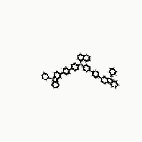 c1ccc(-n2c3ccccc3c3cc(-c4ccc(-c5ccc(N(c6ccc(-c7ccc(-c8ccc9c%10ccccc%10n(-c%10ccccc%10)c9c8)cc7)cc6)c6cccc7ccccc67)cc5)cc4)ccc32)cc1